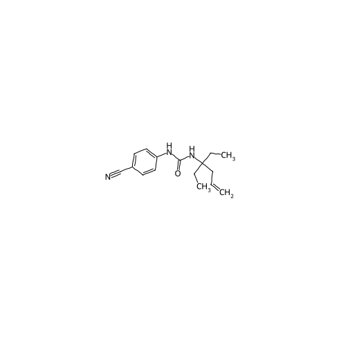 C=CCC(CC)(CC)NC(=O)Nc1ccc(C#N)cc1